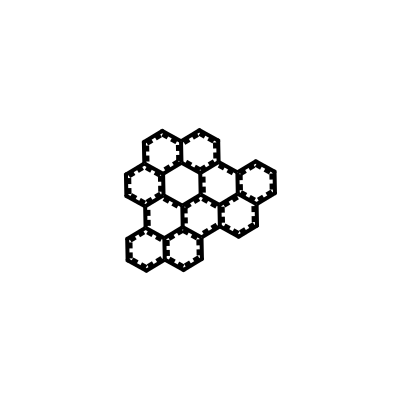 c1cc2ccc3c4ccc5cccc6c7ccc8ccc9ccc%10c(c1)c2c3c1c%10c9c8c7c1c4c56